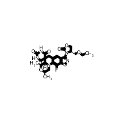 CCOC[C@H]1COC(=O)N1c1noc2c(F)c3c(cc12)CC1(C(=O)NC(=O)NC1=O)[C@H]1[C@H](C)O[C@H](C)CN31